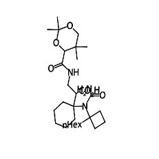 CCCCCCC1(N(C(N)=O)C2(C(CNC(=O)C3OC(C)(C)OCC3(C)C)C(=O)O)CCCCC2)CCC1